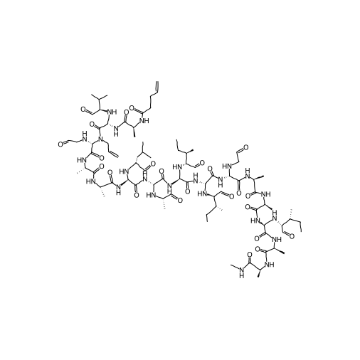 C=CCCC(=O)N[C@@H](C)C(=O)N[C@@H](N[C@@H](C=O)C(C)C)C(=O)N(CC=C)[C@@H](NCC=O)C(=O)N[C@@H](C)C(=O)N[C@@H](C)C(=O)N[C@@H](N[C@@H](C=O)CC(C)C)C(=O)N[C@@H](N[C@@H](C)C=O)C(=O)N[C@@H](N[C@@H](C=O)[C@H](C)CC)C(=O)N[C@@H](N[C@@H](C=O)[C@H](C)CC)C(=O)N[C@H](NCC=O)C(=O)N[C@@H](C)C(=O)N[C@@H](C)C(=O)N[C@@H](N[C@@H](C=O)[C@H](C)CC)C(=O)N[C@@H](C)C(=O)N[C@@H](C)C(=O)NC